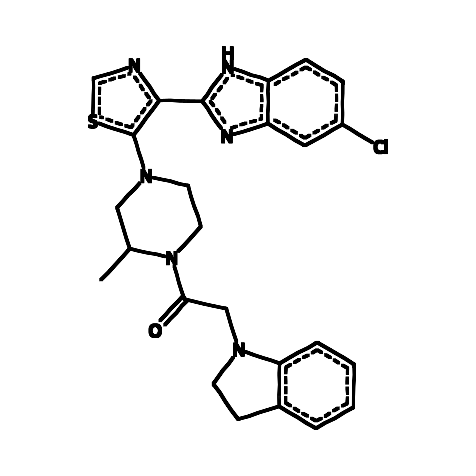 CC1CN(c2scnc2-c2nc3cc(Cl)ccc3[nH]2)CCN1C(=O)CN1CCc2ccccc21